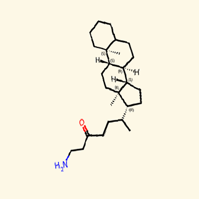 CC(CCC(=O)CCN)[C@H]1CC[C@H]2[C@@H]3CCC4CCCC[C@]4(C)[C@H]3CC[C@]12C